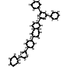 c1ccc(-c2cc(-c3ccccc3)nc(-c3ccc4cc(-c5ccc(-c6ncn(-c7ccccc7)n6)cc5)ccc4c3)n2)cc1